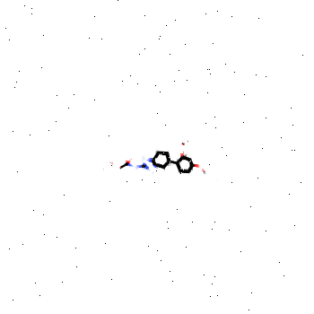 COCC(=O)Nc1nc2cc(-c3ccc(OC)cc3OC)ccc2[nH]1